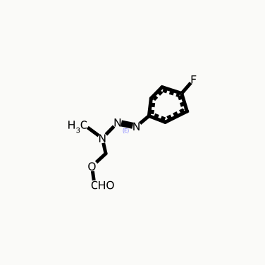 CN(COC=O)/N=N/c1ccc(F)cc1